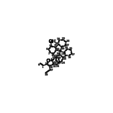 C=Cc1oc2c(-c3ccc(O)c4c3C(c3ccccc3)(c3ccccc3)c3ccccc3-4)cccc2c1C=C